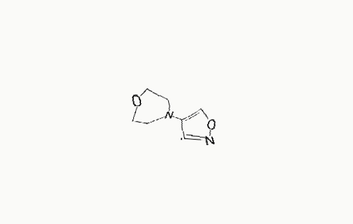 [c]1nocc1N1CCOCC1